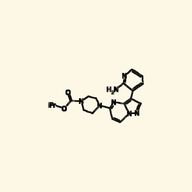 CC(C)OC(=O)N1CCN(c2ccn3ncc(-c4cccnc4N)c3n2)CC1